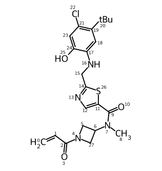 C=CC(=O)N1CC(N(C)C(=O)c2cnc(CNc3cc(C(C)(C)C)c(Cl)cc3O)s2)C1